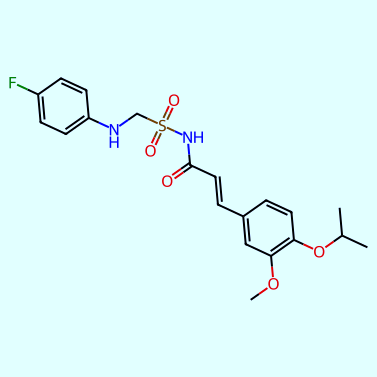 COc1cc(/C=C/C(=O)NS(=O)(=O)CNc2ccc(F)cc2)ccc1OC(C)C